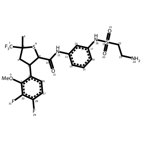 COc1c(C2CC(C)(C(F)(F)F)SC2C(=O)Nc2cccc(NS(=O)(=O)CCN)c2)ccc(F)c1F